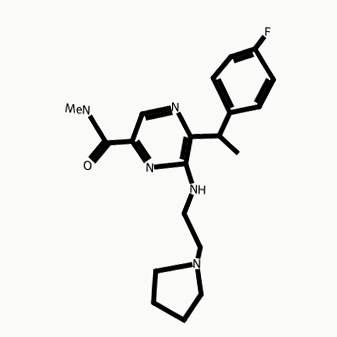 CNC(=O)c1cnc(C(C)c2ccc(F)cc2)c(NCCN2CCCC2)n1